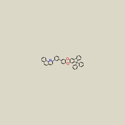 c1ccc(C2(c3ccccc3)c3ccccc3-c3cc4c(cc32)Oc2ccc(-c3cccc(-c5ccc6ccc7ccccc7c6n5)c3)cc2O4)cc1